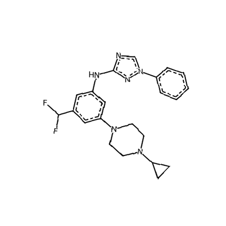 FC(F)c1cc(Nc2ncn(-c3ccccc3)n2)cc(N2CCN(C3CC3)CC2)c1